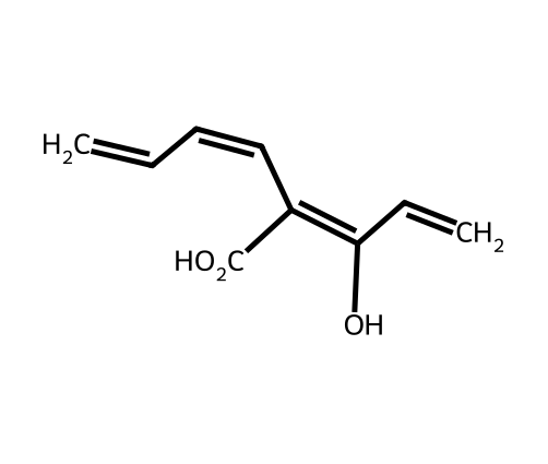 C=C/C=C\C(C(=O)O)=C(\O)C=C